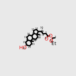 CCOC(C)OC(=O)CC[C@@H](C)C1CCC2C3CCC4CC(O)CCC4(C)C3CCC21C